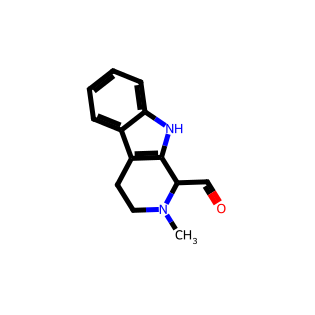 CN1CCc2c([nH]c3ccccc23)C1C=O